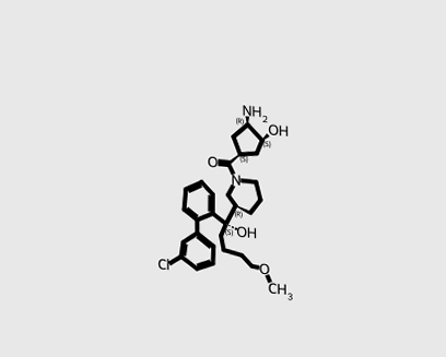 COCCCC[C@@](O)(c1ccccc1-c1cccc(Cl)c1)[C@@H]1CCCN(C(=O)[C@H]2C[C@@H](N)[C@@H](O)C2)C1